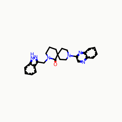 O=C1N(Cc2n[nH]c3ccccc23)CCCC12CCN(c1cnc3ccccc3n1)CC2